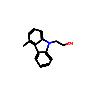 Cc1cccc2c1c1ccccc1n2CCO